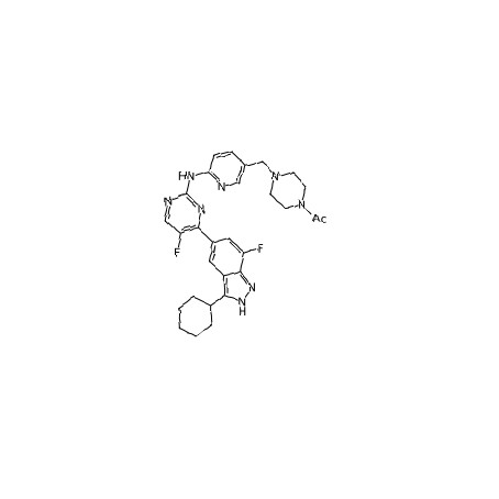 CC(=O)N1CCN(Cc2ccc(Nc3ncc(F)c(-c4cc(F)c5n[nH]c(C6CCCCC6)c5c4)n3)nc2)CC1